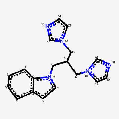 c1ccc2c(c1)ccn2C[C](Cn1ccnc1)Cn1ccnc1